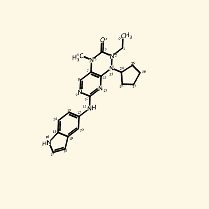 CCN1C(=O)N(C)c2cnc(Nc3ccc4[nH]ccc4c3)nc2N1C1CCCC1